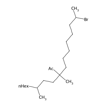 CCCCCCC(C)CCC(C)(CCCCCCC(C)Br)C(C)=O